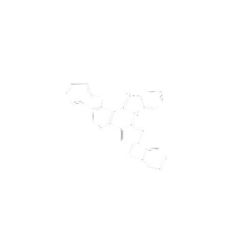 c1ccc2c(c1)nc1c3c(ccc4c5ccccc5oc43)c3cc4sc5ccccc5c4cc3n21